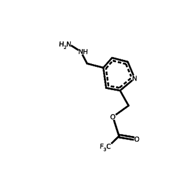 NNCc1ccnc(COC(=O)C(F)(F)F)c1